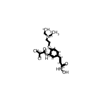 CCN(CC)CCSc1ccc(C=CC(=O)NO)cc1NC(=O)C(Cl)Cl